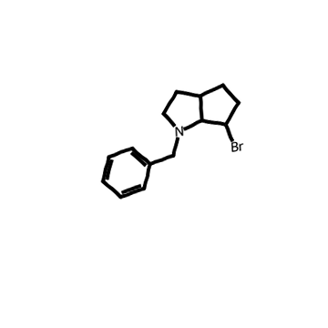 BrC1CCC2CCN(Cc3ccccc3)C12